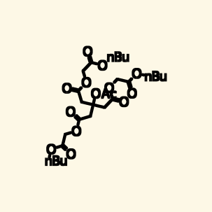 CCCCOC(=O)COC(=O)CC(CC(=O)OCC(=O)OCCCC)(CC(=O)OCC(=O)OCCCC)OC(C)=O